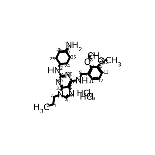 CCCn1cnc2c(NCc3cccc(OC)c3OC)nc(NC3CCC(N)CC3)nc21.Cl.Cl